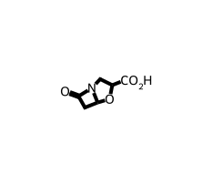 O=C(O)C1CN2C(=O)CC2O1